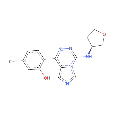 Oc1cc(Cl)ccc1-c1nnc(N[C@H]2CCOC2)n2cncc12